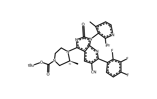 Cc1ccnc(C(C)C)c1-n1c(=O)nc(N2CCN(C(=O)OC(C)(C)C)C[C@@H]2C)c2cc(C#N)c(-c3ccc(F)c(F)c3F)nc21